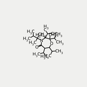 CC(C)C1OC(C)(C(C)C)C(C)(C(C)C)N(C(C)(C)C(C)C)C(=O)C1C(C)C